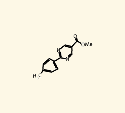 COC(=O)c1cnc(-c2ccc(C)cc2)nc1